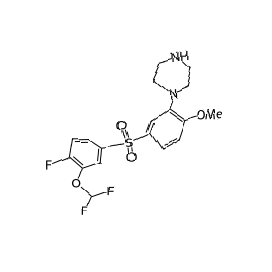 COc1ccc(S(=O)(=O)c2ccc(F)c(OC(F)F)c2)cc1N1CCNCC1